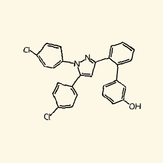 Oc1cccc(-c2ccccc2-c2cc(-c3ccc(Cl)cc3)n(-c3ccc(Cl)cc3)n2)c1